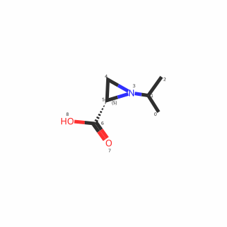 CC(C)N1C[C@H]1C(=O)O